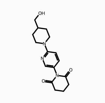 O=C1CCCC(=O)N1c1ccc(N2CCC(CO)CC2)nc1